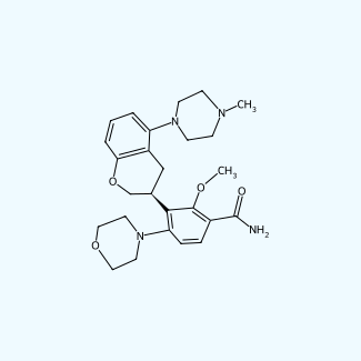 COc1c(C(N)=O)ccc(N2CCOCC2)c1[C@H]1COc2cccc(N3CCN(C)CC3)c2C1